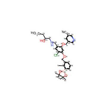 Cc1c(COc2cc(OCc3cncc(C#N)c3)c(CNC[C@@H](O)CC(=O)O)cc2Cl)cccc1B1OC(C)(C)C(C)(C)O1